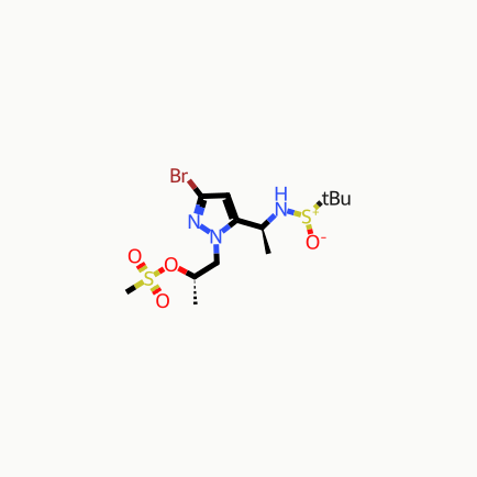 C[C@H](N[S+]([O-])C(C)(C)C)c1cc(Br)nn1C[C@H](C)OS(C)(=O)=O